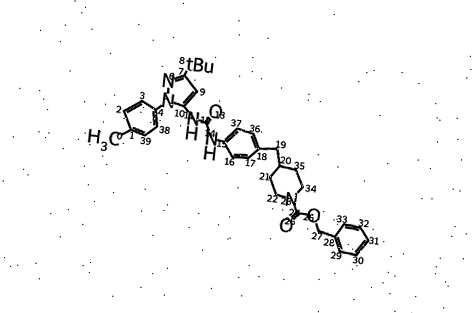 Cc1ccc(-n2nc(C(C)(C)C)cc2NC(=O)Nc2ccc(CC3CCN(C(=O)OCc4ccccc4)CC3)cc2)cc1